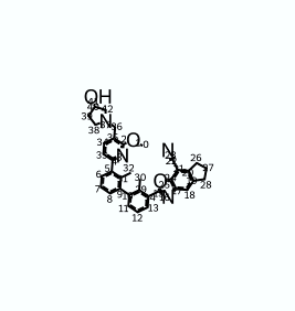 COc1nc(-c2cccc(-c3cccc(-c4nc5cc6c(c(C#N)c5o4)CCC6)c3C)c2C)ccc1CN1CC[C@@H](O)C1